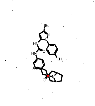 CC(=O)NCC(=O)N1C2CCC1CC(Cc1ccc(NC(=O)Nc3cc(C(C)(C)C)nn3-c3ccc(C)cc3)cc1)C2